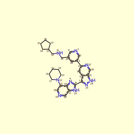 c1ncc(-c2cc3c(-c4nc5c(N6CCCCC6)cncc5[nH]4)n[nH]c3cn2)cc1CNCC1CCCC1